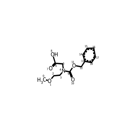 COCCN(CC(=O)O)C(=O)OCc1ccccc1